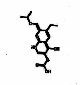 CCc1cc2c(cc1=COC(C)C)NC=C(OC(=O)O)C=2O